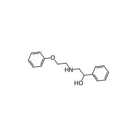 OC(CNCCOc1[c]cccc1)c1ccccc1